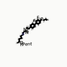 C=CCOc1ccc(-c2ccc(-c3cnc(/C=C/CCCC(C)OCCCCC)nc3)cc2)c(F)c1F